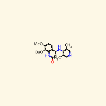 COc1ccc2c(Nc3c(C)cncc3C)cc(=O)[nH]c2c1OCC(C)C